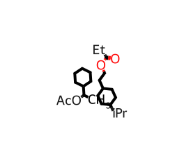 CC(=O)OC(C)C1CCCCC1.CCC(=O)OCCC1CCC(C(C)C)CC1